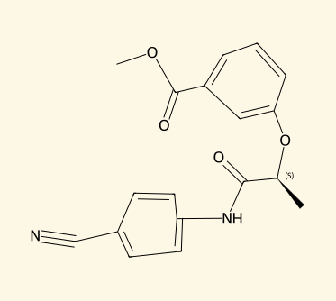 COC(=O)c1cccc(O[C@@H](C)C(=O)Nc2ccc(C#N)cc2)c1